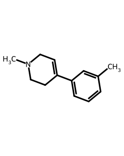 Cc1cccc(C2=CCN(C)CC2)c1